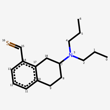 CCCN(CCC)C1CCc2cccc(C=S)c2C1